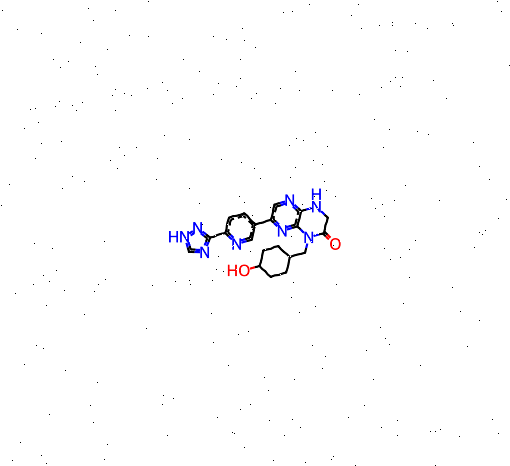 O=C1CNc2ncc(-c3ccc(-c4nc[nH]n4)nc3)nc2N1CC1CCC(O)CC1